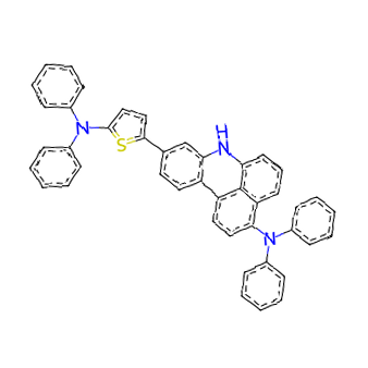 c1ccc(N(c2ccccc2)c2ccc(-c3ccc4c(c3)Nc3cccc5c(N(c6ccccc6)c6ccccc6)ccc-4c35)s2)cc1